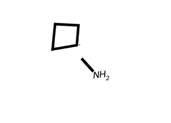 CN.[CH]1CCC1